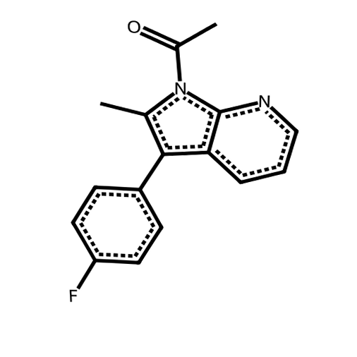 CC(=O)n1c(C)c(-c2ccc(F)cc2)c2cccnc21